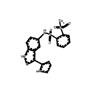 CS(=O)(=O)c1ccccc1S(=O)(=O)Nc1ccc2[nH]nc(-c3ccc[nH]3)c2c1